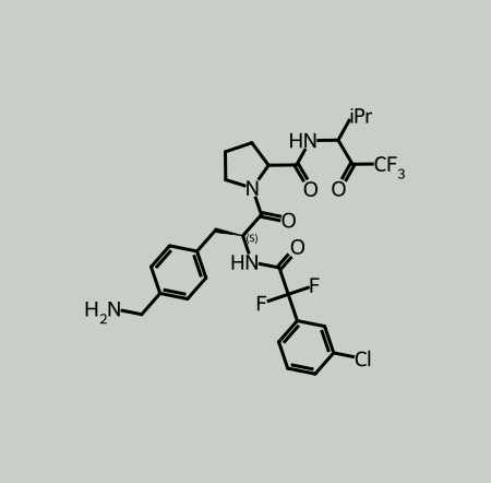 CC(C)C(NC(=O)C1CCCN1C(=O)[C@H](Cc1ccc(CN)cc1)NC(=O)C(F)(F)c1cccc(Cl)c1)C(=O)C(F)(F)F